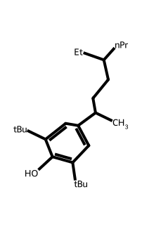 CCCC(CC)CCC(C)c1cc(C(C)(C)C)c(O)c(C(C)(C)C)c1